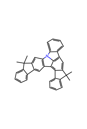 CC1(C)c2ccccc2-c2cc3c4c5c(cc6c7ccccc7n(c3cc21)c64)C(C)(C)c1ccccc1-5